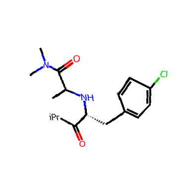 CC(C)C(=O)[C@@H](Cc1ccc(Cl)cc1)NC(C)C(=O)N(C)C